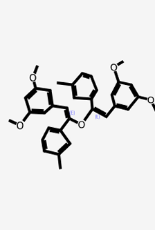 COc1cc(/C=C(/O/C(=C/c2cc(OC)cc(OC)c2)c2cccc(C)c2)c2cccc(C)c2)cc(OC)c1